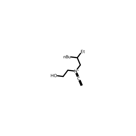 C=C=[N+](CCO)CC(CC)CCCC